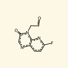 O=CCn1c(=O)cnc2ccc(F)nc21